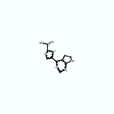 CCC[C@H](C#N)c1ncc(-c2ncnc3c2CCN3)s1